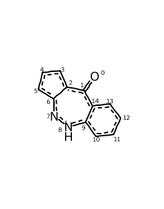 O=c1c2cccc-2n[nH]c2ccccc12